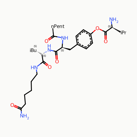 CCCCCC(=O)N[C@@H](Cc1ccc(OC(=O)[C@@H](N)C(C)C)cc1)C(=O)N[C@H](C(=O)NCCCCCC(N)=O)[C@@H](C)CC